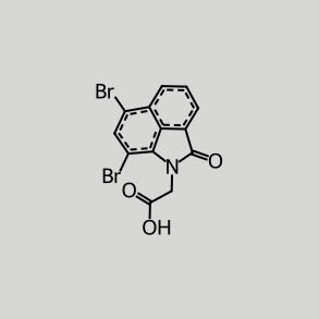 O=C(O)CN1C(=O)c2cccc3c(Br)cc(Br)c1c23